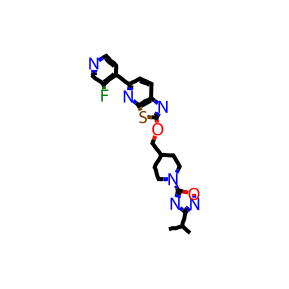 CC(C)c1noc(N2CCC(COc3nc4ccc(-c5ccncc5F)nc4s3)CC2)n1